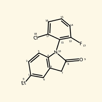 CCc1ccc2c(c1)CC(=O)N2c1c(F)cccc1Cl